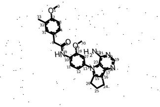 COc1ccc(CC(=O)Nc2ccc(-n3c4c(c5ncnc(N)c53)CCC4)cc2OC)cc1C